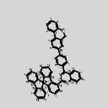 c1ccc2c(c1)OCc1cc(-c3ccc(-c4nc(-c5cccc6c5-c5ccccc5C65c6ccccc6-c6ccccc65)nc5ccccc45)cc3)ccc1-2